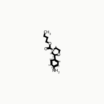 CCCCOC(=O)N1CCOC(c2ccc(N)cc2)C1